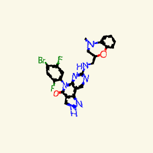 CN1CC(CNc2ncc3c4n[nH]cc4c(=O)n(-c4cc(F)c(Br)cc4F)c3n2)Oc2ccccc21